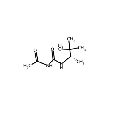 CC(=O)NC(=O)N[C@@H](C)C(C)(C)C